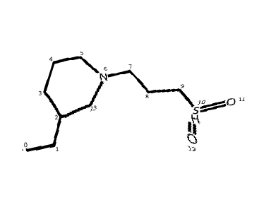 [CH2]CC1CCCN(CCC[SH](=O)=O)C1